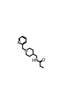 CCC(=O)NCC1CCN(Cc2ccccn2)CC1